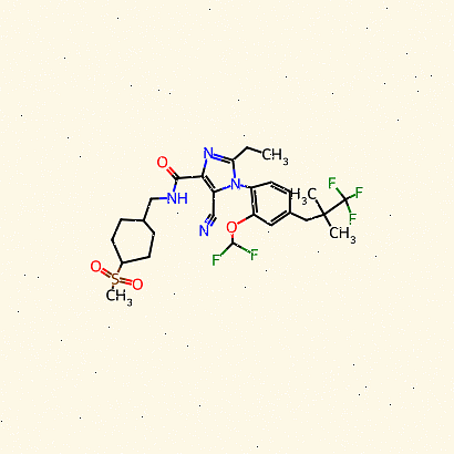 CCc1nc(C(=O)NCC2CCC(S(C)(=O)=O)CC2)c(C#N)n1-c1ccc(CC(C)(C)C(F)(F)F)cc1OC(F)F